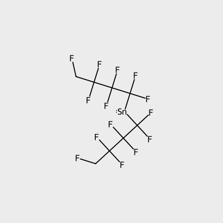 FCC(F)(F)C(F)(F)[C](F)(F)[Sn][C](F)(F)C(F)(F)C(F)(F)CF